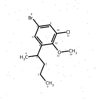 CCCC(C)c1cc(Br)cc(Cl)c1OC